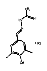 Cc1cc(/C=N/NC(=N)N)cc(C)c1O.Cl